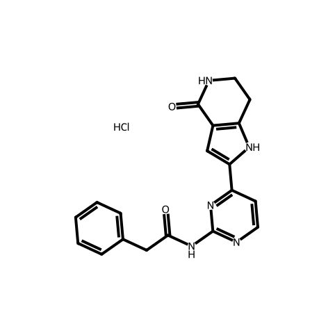 Cl.O=C(Cc1ccccc1)Nc1nccc(-c2cc3c([nH]2)CCNC3=O)n1